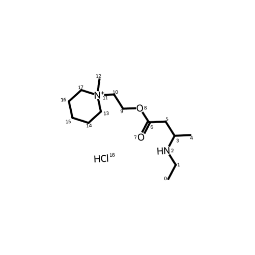 CCNC(C)CC(=O)OCC[N+]1(C)CCCCC1.Cl